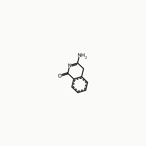 NC1=NC(=O)c2ccccc2C1